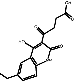 O=C(O)CCC(=O)c1c(O)c2cc(CI)ccc2[nH]c1=O